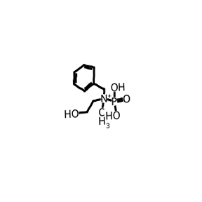 C[N+](CCO)(Cc1ccccc1)P(=O)(O)O